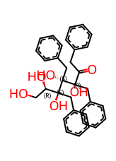 O=C(Cc1ccccc1)[C@@](O)(Cc1ccccc1)[C@](O)(Cc1ccccc1)[C@](O)(Cc1ccccc1)[C@H](O)CO